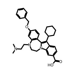 CN(C)CCN1CCn2c(c(C3CCCCC3)c3ccc(C(=O)O)cc32)-c2ccc(OCc3ccccc3)cc21